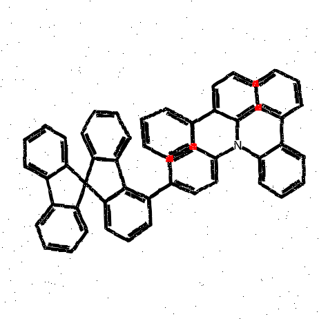 c1ccc(-c2ccccc2N(c2ccc(-c3cccc4c3-c3ccccc3C43c4ccccc4-c4ccccc43)cc2)c2ccccc2-c2ccccc2)cc1